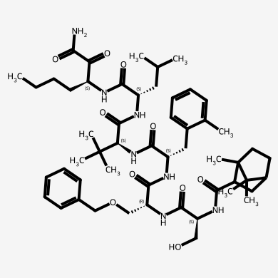 CCCC[C@H](NC(=O)[C@H](CC(C)C)NC(=O)[C@@H](NC(=O)[C@H](Cc1ccccc1C)NC(=O)[C@@H](COCc1ccccc1)NC(=O)[C@H](CO)NC(=O)C1CC2CCC1(C)C2(C)C)C(C)(C)C)C(=O)C(N)=O